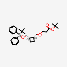 CC(C)(C)OC(=O)CCOC[C@@H]1CC[C@@H]1CO[Si](c1ccccc1)(c1ccccc1)C(C)(C)C